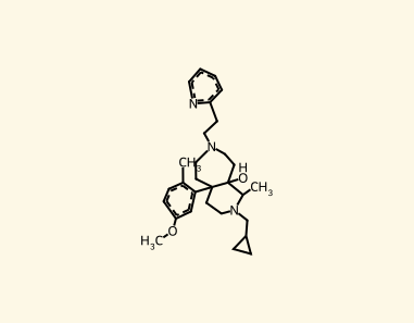 COc1ccc(C)c(C23CCN(CCc4ccccn4)CCC2(O)C(C)N(CC2CC2)CC3)c1